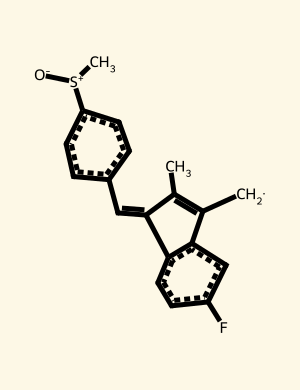 [CH2]C1=C(C)C(=Cc2ccc([S+](C)[O-])cc2)c2ccc(F)cc21